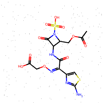 CC(=O)OCC1C(NC(=O)C(=NOCC(=O)O)c2csc(N)n2)C(=O)N1S(=O)(=O)O